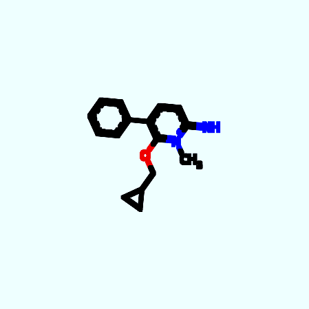 Cn1c(OCC2CC2)c(-c2ccccc2)ccc1=N